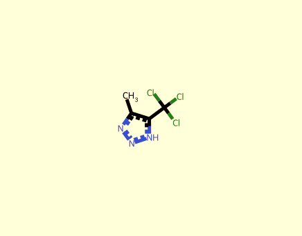 Cc1nn[nH]c1C(Cl)(Cl)Cl